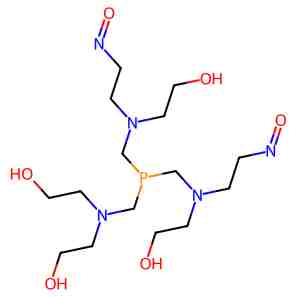 O=NCCN(CCO)CP(CN(CCO)CCO)CN(CCO)CCN=O